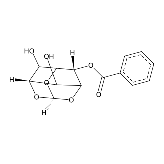 O=C(O[C@H]1C2O[C@H]3OC1C(O)[C@H](O3)C2O)c1ccccc1